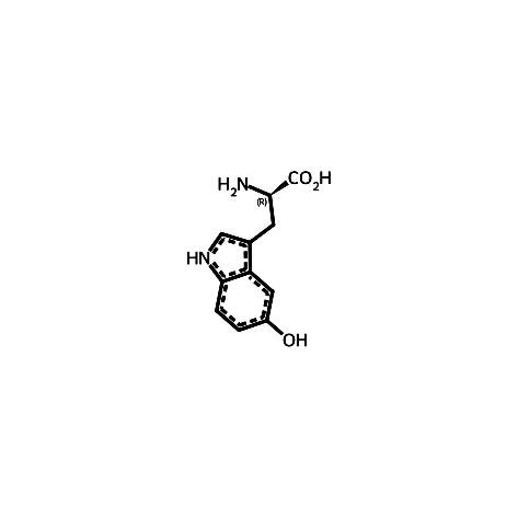 N[C@H](Cc1c[nH]c2ccc(O)cc12)C(=O)O